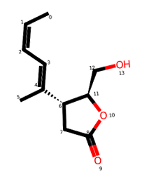 C/C=C\C=C(/C)[C@H]1CC(=O)O[C@@H]1CO